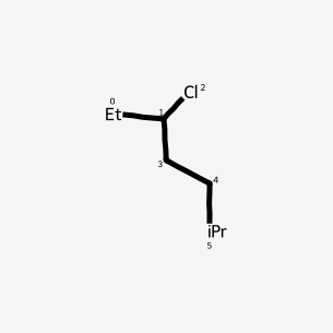 CCC(Cl)CCC(C)C